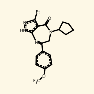 CCc1n[nH]c2c1C(=O)N(C1CCCC1)CC(c1ccc(OC(F)(F)F)cc1)=N2